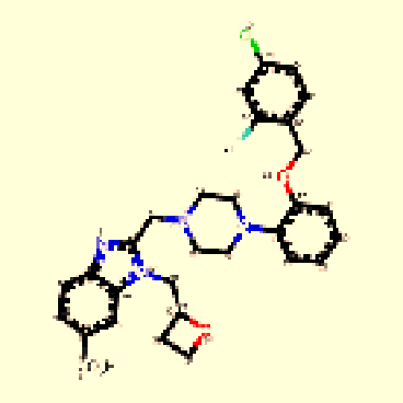 O=C(O)c1ccc2nc(CN3CCN(c4ccccc4OCc4ccc(Cl)cc4F)CC3)n(C[C@@H]3CCO3)c2c1